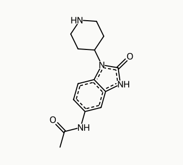 CC(=O)Nc1ccc2c(c1)[nH]c(=O)n2C1CCNCC1